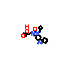 CN(C)[C@]1(c2ccccc2)CC[C@@]2(CC1)CN(CCC1(O)COC1)C(=O)N2CC1CCC1